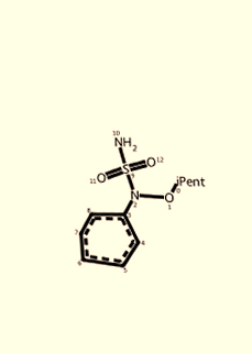 CCCC(C)ON(c1ccccc1)S(N)(=O)=O